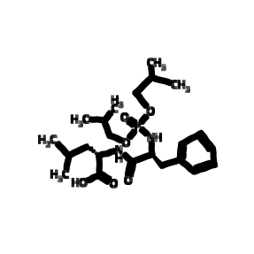 CC(C)COP(=O)(N[C@@H](Cc1ccccc1)C(=O)N[C@@H](CC(C)C)C(=O)O)OCC(C)C